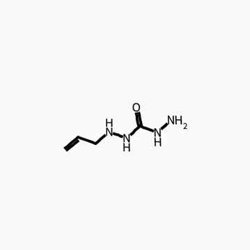 C=CCNNC(=O)NN